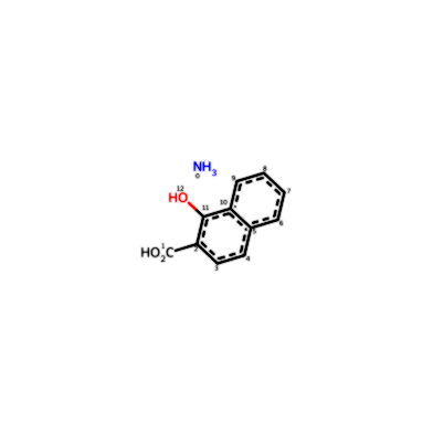 N.O=C(O)c1ccc2ccccc2c1O